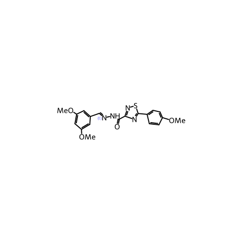 COc1ccc(-c2nc(C(=O)N/N=C/c3cc(OC)cc(OC)c3)ns2)cc1